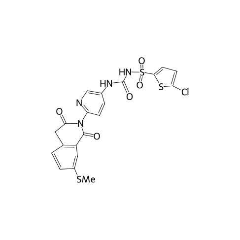 CSc1ccc2c(c1)C(=O)N(c1ccc(NC(=O)NS(=O)(=O)c3ccc(Cl)s3)cn1)C(=O)C2